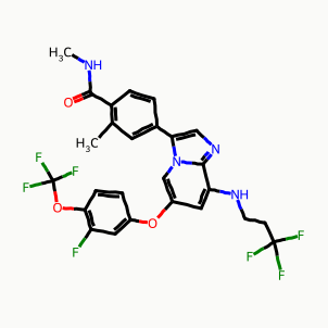 CNC(=O)c1ccc(-c2cnc3c(NCCC(F)(F)F)cc(Oc4ccc(OC(F)(F)F)c(F)c4)cn23)cc1C